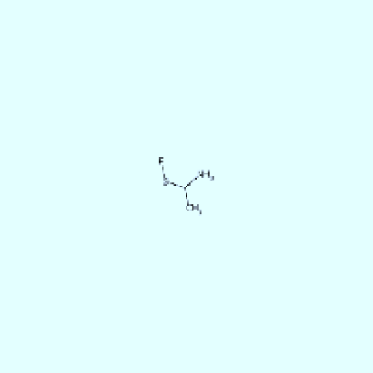 CC(N)SF